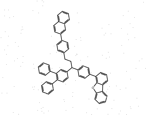 c1ccc(-c2ccc(C(CCc3ccc(-c4ccc5ccccc5c4)cc3)c3ccc(-c4cccc5c4oc4ccccc45)cc3)cc2-c2ccccc2)cc1